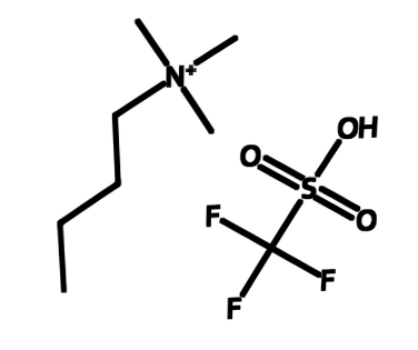 CCCC[N+](C)(C)C.O=S(=O)(O)C(F)(F)F